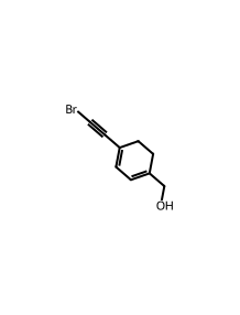 OCC1=CC=C(C#CBr)CC1